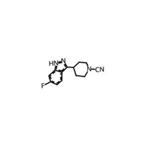 N#CN1CCC(c2n[nH]c3cc(F)ccc23)CC1